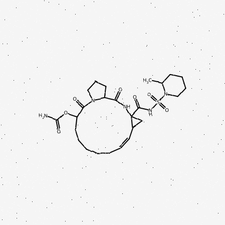 CC1CCCCN1S(=O)(=O)NC(=O)C12CC1C=CCCCCCC(OC(N)=O)C(=O)N1CCCC1C(=O)N2